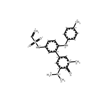 C=CS(=O)(=O)Nc1ccc(Nc2ccc(C)cc2)c(-c2cc(N(C)C)c(=O)n(C)c2)c1